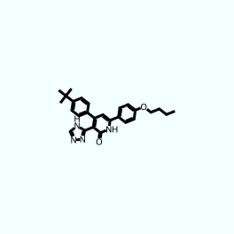 CCCCOc1ccc(-c2cc(-c3ccc(C(C)(C)C)cc3)c(-c3nnc[nH]3)c(=O)[nH]2)cc1